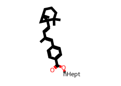 CCCCCCCOC(=O)c1ccc(C=C(C)C=CC23CC2(C)CCCC3(C)C)cc1